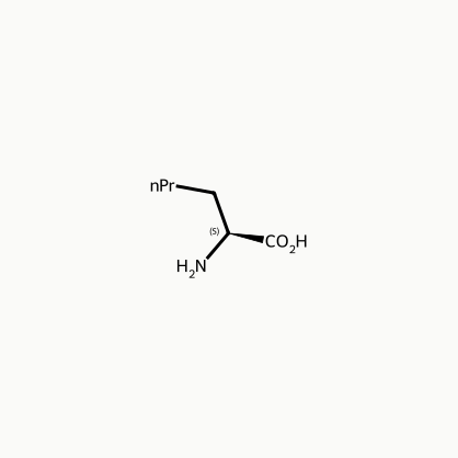 [CH2]CCC[C@H](N)C(=O)O